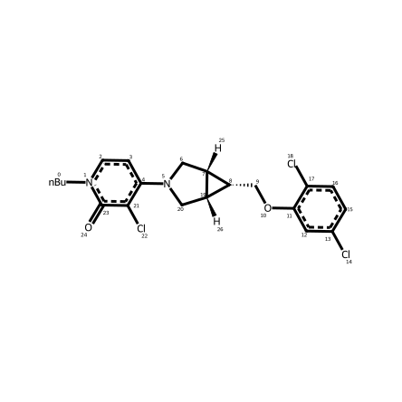 CCCCn1ccc(N2C[C@@H]3[C@H](COc4cc(Cl)ccc4Cl)[C@@H]3C2)c(Cl)c1=O